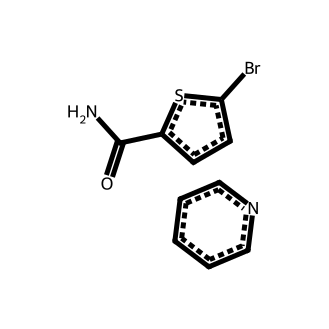 NC(=O)c1ccc(Br)s1.c1ccncc1